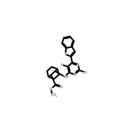 COC(=O)C1C2CCC(CC2)C1Nc1nc(Cl)nc(-c2cc3ccccc3s2)c1F